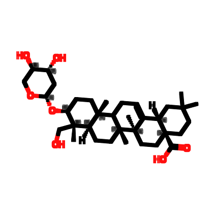 CC1(C)CC[C@]2(C(=O)O)CC[C@]3(C)C(=CCC4[C@@]5(C)CC[C@H](O[C@H]6C[C@@H](O)[C@H](O)CO6)[C@@](C)(CO)[C@@H]5CC[C@]43C)[C@@H]2C1